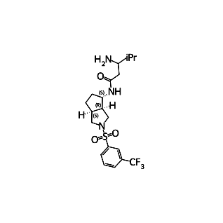 CC(C)C(N)CC(=O)N[C@H]1CC[C@@H]2CN(S(=O)(=O)c3cccc(C(F)(F)F)c3)C[C@@H]21